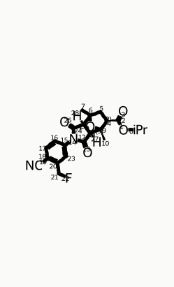 CC(C)OC(=O)[C@@H]1CC2(C)O[C@@]1(C)[C@@H]1C(=O)N(c3ccc(C#N)c(CF)c3)C(=O)[C@@H]12